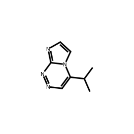 CC(C)c1cnnc2nccn12